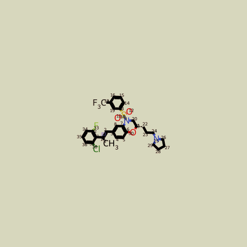 C/C(=C\c1ccc2c(c1)N(S(=O)(=O)c1cccc(C(F)(F)F)c1)C[C@H](CCCN1CCCC1)O2)c1c(F)cccc1Cl